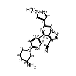 Cn1cc(-c2cn3ncc(C#N)c3c(-c3ccc(N4CCC[C@@H](N)C4)nc3)n2)cn1